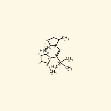 C[C@@H]1CC[C@@H](C)P1/C=C(\P1[C@H](C)CC[C@H]1C)C(C)(C)C